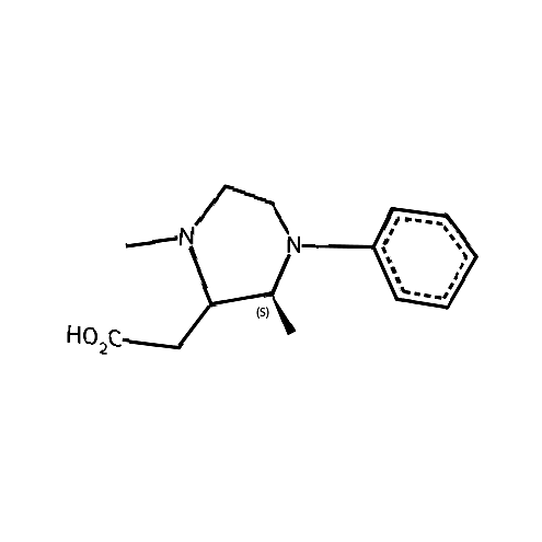 C[C@H]1C(CC(=O)O)N(C)CCN1c1ccccc1